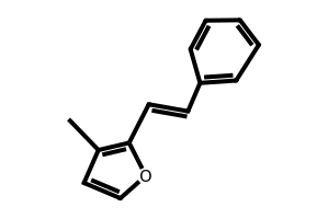 Cc1ccoc1/C=C/c1ccccc1